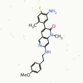 COc1ccc(CCNc2cc3c(cn2)cc(-c2cc(N)c(F)cc2C)c(=O)n3C)cc1